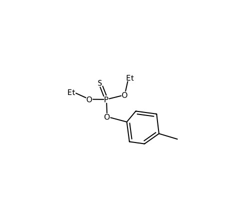 CCOP(=S)(OCC)Oc1ccc(C)cc1